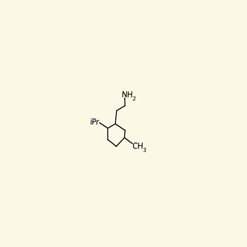 CC1CCC(C(C)C)C(CCN)C1